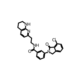 O=C(NCCc1ccc2c(n1)NCCC2)c1cccc(N2Cc3cccc(Cl)c3C2=O)c1